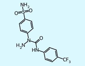 NN(C(=O)Nc1ccc(C(F)(F)F)cc1)c1ccc(S(N)(=O)=O)cc1